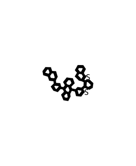 c1cc(-c2ccc3ccccc3c2)cc(-c2c3ccccc3c(-c3ccc4sc5ccc6sc7c8ccccc8ccc7c6c5c4c3)c3ccccc23)c1